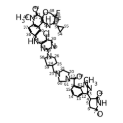 Cn1nc(C2CCC(=O)NC2=O)c2cccc(C(=O)N3CCN(CC4CCN(c5ncc(Cl)c(Nc6ccc7c(c6)c6c(c(=O)n7C)OCC(F)(F)[C@H](C7CC7)N6)n5)CC4)CC3)c21